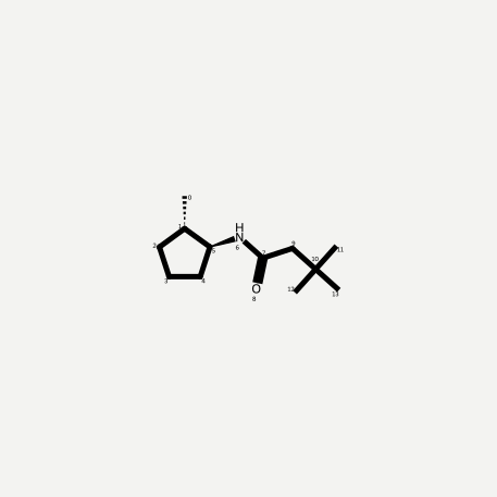 C[C@H]1CCC[C@@H]1NC(=O)CC(C)(C)C